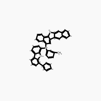 Cc1cccc(N(c2cc3c4cc5ccccc5cc4oc3c3ccccc23)c2cccc3c2oc2c(-c4ccccc4)cccc23)c1